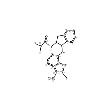 Cc1nc2c(OC3c4ccccc4CC3OC(=O)N(C)C)cccn2c1C=O